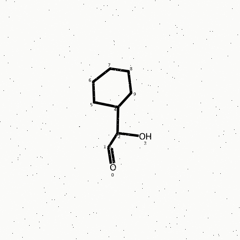 O=[C]C(O)C1CCCCC1